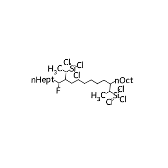 CCCCCCCCC(CCCCCCC(C(F)CCCCCCC)C(C)[Si](Cl)(Cl)Cl)C(C)[Si](Cl)(Cl)Cl